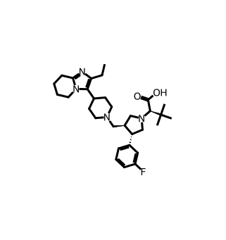 CCc1nc2n(c1C1CCN(C[C@H]3CN([C@@H](C(=O)O)C(C)(C)C)C[C@@H]3c3cccc(F)c3)CC1)CCCC2